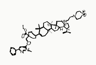 C=C(C)[C@@H]1CC[C@]2(NCCN3CCS(=O)(=O)CC3)CC[C@]3(C)[C@H](CCC4[C@@]5(C)CC=C(C6=CCC(COc7cc(-c8ccccc8)nn7C)(C(=O)OCC)CC6)C(C)(C)C5CC[C@]43C)C12